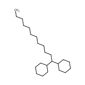 CCCCCCCCCCCC(C1CCCCC1)C1CCCCC1